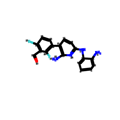 Nc1ccccc1Nc1ccc(-c2ccc(F)c(C=O)c2F)c(N)n1